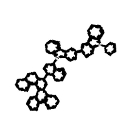 c1ccc(-n2c3ccccc3c3cc(-c4ccc5c(c4)c4ccccc4n5-c4ccc(-c5cc6c7ccccc7c7ccccc7c6c6c5ccc5ccccc56)c5ccccc45)ccc32)cc1